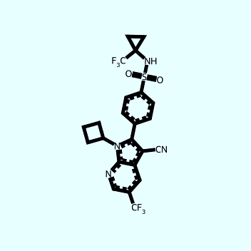 N#Cc1c(-c2ccc(S(=O)(=O)NC3(C(F)(F)F)CC3)cc2)n(C2CCC2)c2ncc(C(F)(F)F)cc12